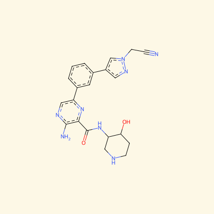 N#CCn1cc(-c2cccc(-c3cnc(N)c(C(=O)NC4CNCCC4O)n3)c2)cn1